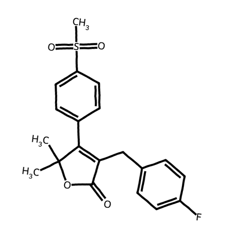 CC1(C)OC(=O)C(Cc2ccc(F)cc2)=C1c1ccc(S(C)(=O)=O)cc1